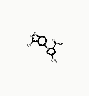 Cc1cc(C(=O)O)n(-c2ccc3onc(N)c3c2)n1